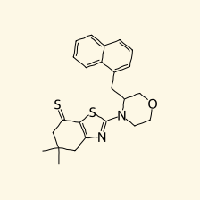 CC1(C)CC(=S)c2sc(N3CCOCC3Cc3cccc4ccccc34)nc2C1